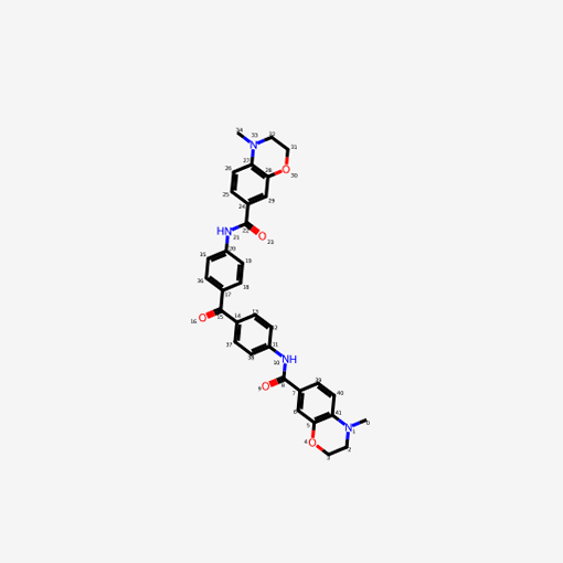 CN1CCOc2cc(C(=O)Nc3ccc(C(=O)c4ccc(NC(=O)c5ccc6c(c5)OCCN6C)cc4)cc3)ccc21